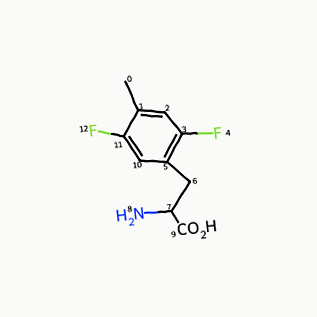 Cc1cc(F)c(CC(N)C(=O)O)cc1F